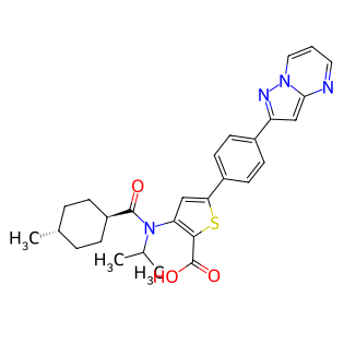 CC(C)N(c1cc(-c2ccc(-c3cc4ncccn4n3)cc2)sc1C(=O)O)C(=O)[C@H]1CC[C@H](C)CC1